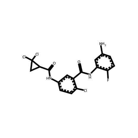 Nc1ccc(F)c(NC(=O)c2cc(NC(=O)C3CC3(Cl)Cl)ccc2Cl)c1